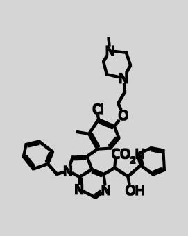 Cc1c(-c2cn(Cc3ccccc3)c3ncnc(C(C(=O)O)C(O)c4ccccc4)c23)ccc(OCCN2CCN(C)CC2)c1Cl